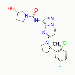 C[C@]1(c2cc(F)ccc2Cl)CCCN1c1ccn2ncc(NC(=O)N3CC[C@H](O)C3)c2n1